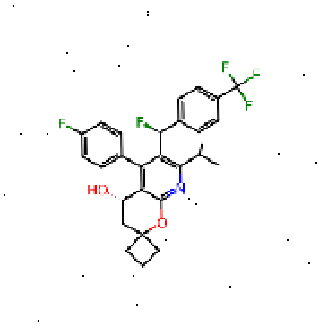 CC(C)c1nc2c(c(-c3ccc(F)cc3)c1[C@@H](F)c1ccc(C(F)(F)F)cc1)[C@@H](O)CC1(CCC1)O2